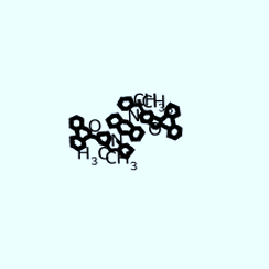 CC1(C)c2ccccc2N(c2c3ccccc3c(N3c4ccccc4C(C)(C)c4cc5c(cc43)oc3c4ccccc4c4ccccc4c53)c3ccccc23)c2cc3oc4c5ccccc5c5ccccc5c4c3cc21